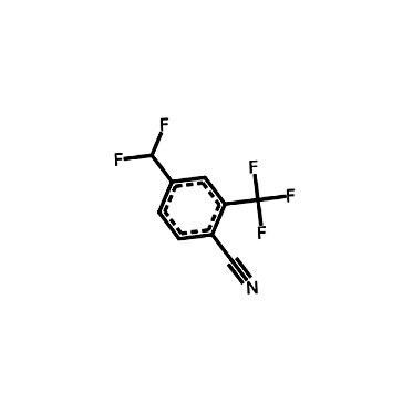 N#Cc1ccc(C(F)F)cc1C(F)(F)F